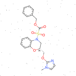 Cn1ccnc1OC[C@H]1CN(S(=O)(=O)C(=O)OCc2ccccc2)c2ccccc2O1